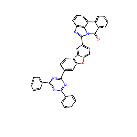 O=c1c2ccccc2c2cccc3nc(-c4ccc5oc6cc(-c7nc(-c8ccccc8)nc(-c8ccccc8)n7)ccc6c5c4)n1c32